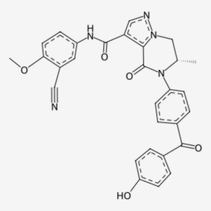 COc1ccc(NC(=O)c2cnn3c2C(=O)N(c2ccc(C(=O)c4ccc(O)cc4)cc2)[C@@H](C)C3)cc1C#N